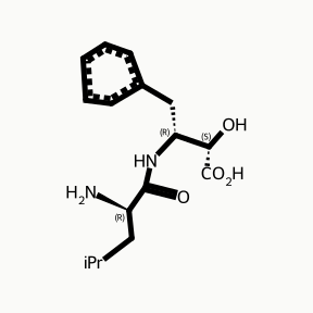 CC(C)C[C@@H](N)C(=O)N[C@H](Cc1ccccc1)[C@H](O)C(=O)O